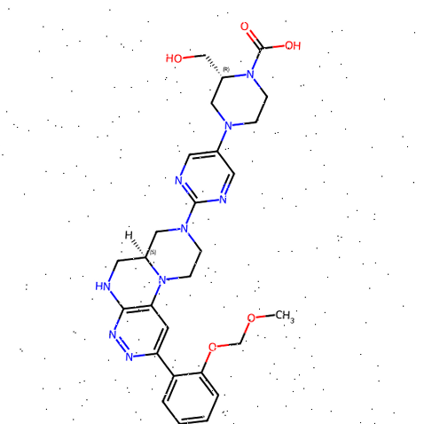 COCOc1ccccc1-c1cc2c(nn1)NC[C@H]1CN(c3ncc(N4CCN(C(=O)O)[C@@H](CO)C4)cn3)CCN21